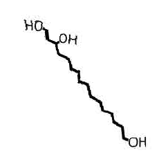 O/C=C/C(O)CCCCCCCCCCCCCO